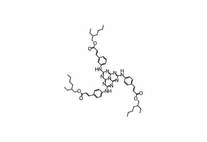 CCCCC(CC)COC(=O)C=Cc1ccc(NC2=NC3=NC(Nc4ccc(C=CC(=O)OCC(CC)CCCC)cc4)=NC4=NC(Nc5cccc(C=CC(=O)OCC(CC)CCCC)c5)=NC(=N2)N34)cc1